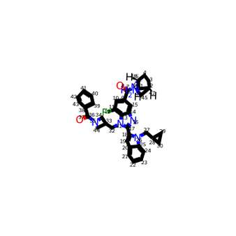 N[C@@H]1[C@@H]2CC[C@H]1N(C(=O)c1cc(F)c3c(c1)nc(-c1cc4ccccc4n1CC1CC1)n3CC1CN(C(=O)c3ccccc3)C1)C2